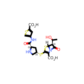 CC(O)[C@H]1C(=O)N2C(C(=O)O)=C(S[C@@H]3CN[C@H](C(=O)Nc4csc(C(=O)O)c4)C3)S[C@H]12